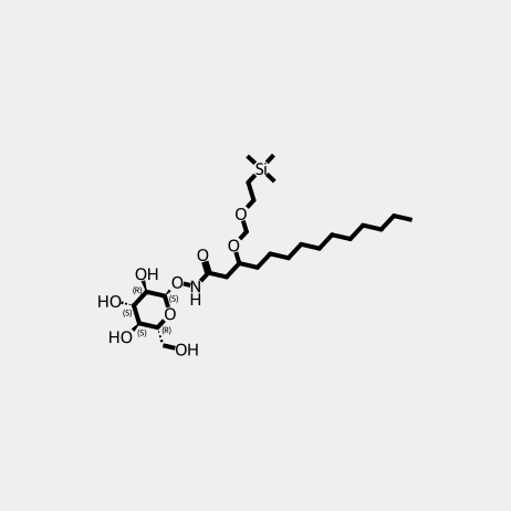 CCCCCCCCCCCC(CC(=O)NO[C@@H]1O[C@H](CO)[C@@H](O)[C@H](O)[C@H]1O)OCOCC[Si](C)(C)C